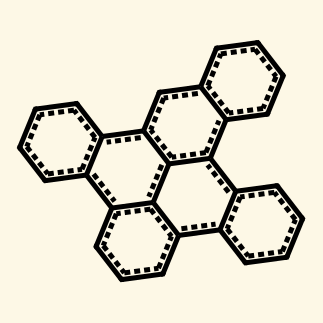 c1ccc2c(c1)cc1c3ccccc3c3cccc4c5ccccc5c2c1c34